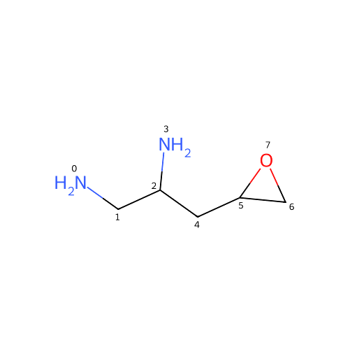 NCC(N)CC1CO1